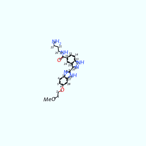 COCCOc1ccc2nc(-c3n[nH]c4ccc(C(=O)NCCCN)cc34)[nH]c2c1